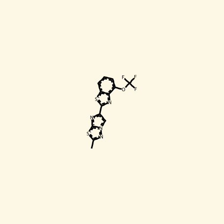 Cc1nn2cc(-c3nc4c(OC(F)(F)F)cccc4s3)nc2s1